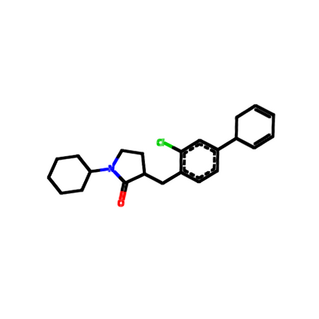 O=C1C(Cc2ccc(C3C=CC=CC3)cc2Cl)CCN1C1CCCCC1